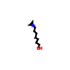 OCCCCCCCN1CC1